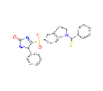 O=C1N=C(c2ccccc2)C(S(=O)(=O)c2ccc3c(c2)CCN3C(=S)c2ccccc2)=N1